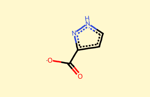 [O]C(=O)c1cc[nH]n1